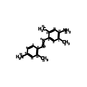 Cc1cc(N=Nc2ccc(N)cc2C)c(C)cc1N